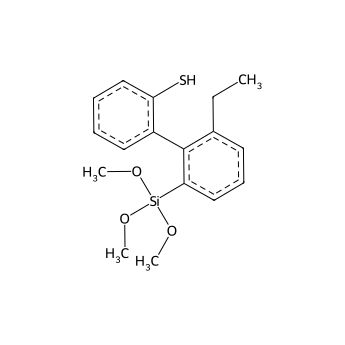 CCc1cccc([Si](OC)(OC)OC)c1-c1ccccc1S